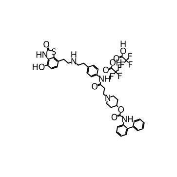 O=C(CCN1CCC(OC(=O)Nc2ccccc2-c2ccccc2)CC1)Nc1ccc(CCNCCc2ccc(O)c3[nH]c(=O)sc23)cc1.O=C(O)C(F)(F)F.O=C(O)C(F)(F)F